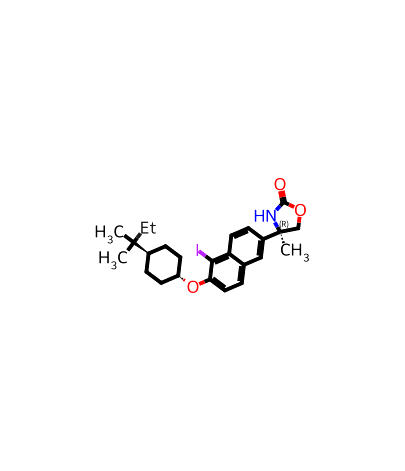 CCC(C)(C)[C@H]1CC[C@H](Oc2ccc3cc([C@]4(C)COC(=O)N4)ccc3c2I)CC1